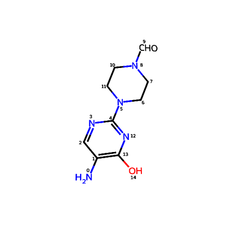 Nc1cnc(N2CCN(C=O)CC2)nc1O